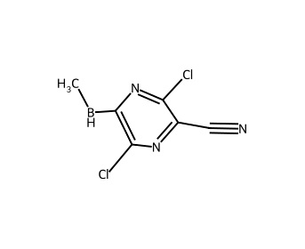 CBc1nc(Cl)c(C#N)nc1Cl